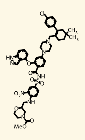 COC(=O)N1CCOC(CNc2ccc(S(=O)(=O)NC(=O)c3ccc(N4CCN(CC5=C(c6ccc(Cl)cc6)CC(C)(C)CC5)CC4)cc3Oc3cccc4[nH]ncc34)cc2[N+](=O)[O-])C1